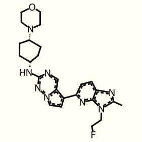 Cc1nc2ccc(-c3ccn4nc(N[C@H]5CC[C@@H](N6CCOCC6)CC5)ncc34)nc2n1CCF